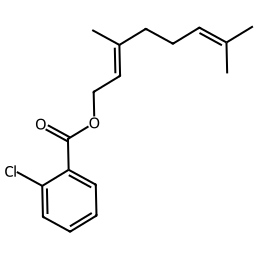 CC(C)=CCC/C(C)=C/COC(=O)c1ccccc1Cl